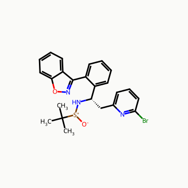 CC(C)(C)[S+]([O-])N[C@@H](Cc1cccc(Br)n1)c1ccccc1-c1noc2ccccc12